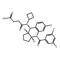 O=C(O)CCC(=O)N(C1CCC1)[C@H]1c2ccc(Cl)cc2N(C(=O)c2cc(F)cc(F)c2)[C@@H]2CCC[C@@H]21